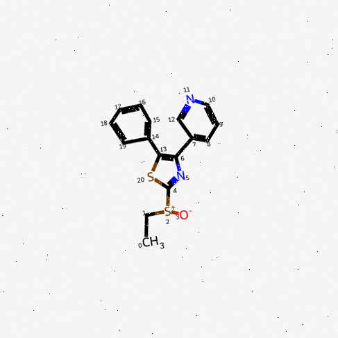 CC[S+]([O-])c1nc(-c2cccnc2)c(-c2ccccc2)s1